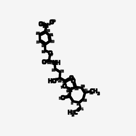 C=C[C@@H]1CC(=O)N(OC(=O)[C@@H](O)CCNC(=O)OCc2ccc([N+](=O)[O-])cc2)C(=O)C[C@@H](C)C1